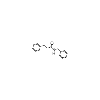 O=C([CH]Cc1ccccc1)NCc1ccccc1